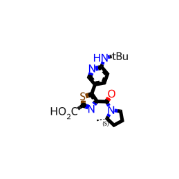 C[C@H]1CCCN1C(=O)c1nc(C(=O)O)sc1-c1ccc(NC(C)(C)C)nc1